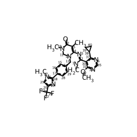 C=N/C(=N\C1=C(C)C(=O)N(C)CN1Cc1ccc(-c2nc(C(F)(F)F)cn2C)cc1)c1c(OC)ncnc1C1CC1